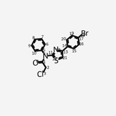 O=C(CCl)N(c1ccccc1)c1nc(-c2ccc(Br)cc2)cs1